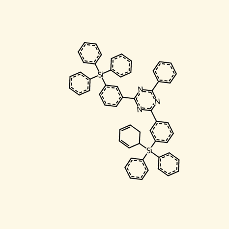 C1=CCC([Si](c2ccccc2)(c2ccccc2)c2cccc(-c3nc(-c4ccccc4)nc(-c4cccc([Si](c5ccccc5)(c5ccccc5)c5ccccc5)c4)n3)c2)C=C1